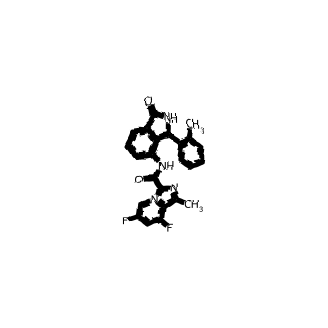 Cc1ccccc1C1NC(=O)c2cccc(NC(=O)c3nc(C)c4c(F)cc(F)cn34)c21